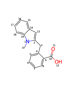 Cn1c(Cc2ccccc2C(=O)O)cc2ccccc21